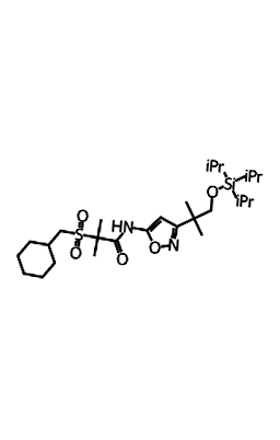 CC(C)[Si](OCC(C)(C)c1cc(NC(=O)C(C)(C)S(=O)(=O)CC2CCCCC2)on1)(C(C)C)C(C)C